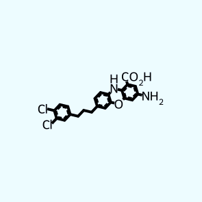 Nc1cc2c(c(C(=O)O)c1)Nc1ccc(CCCc3ccc(Cl)c(Cl)c3)cc1O2